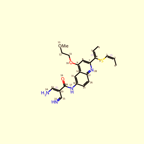 C/C=C\S/C(=C\C)c1cc(OCCOC)c2cc(NC(=O)/C(C=N)=C/N)ccc2n1